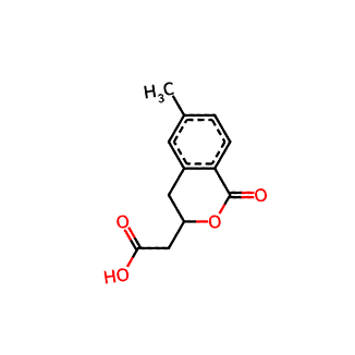 Cc1ccc2c(c1)CC(CC(=O)O)OC2=O